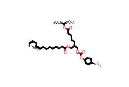 CCCCC/C=C\C/C=C\CCCCCCCC(=O)OCC(CCCCC(=O)OC(CCCCCCCC)CCCCCCCC)COC(=O)Oc1ccc([N+](=O)[O-])cc1